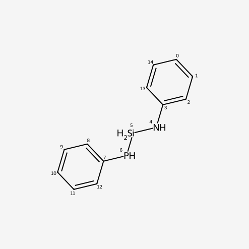 c1ccc(N[SiH2]Pc2ccccc2)cc1